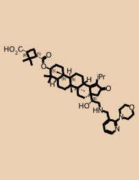 CC(C)C1=C2[C@H]3CC[C@@H]4[C@@]5(C)CC[C@H](OC(=O)[C@H]6C[C@@H](C(=O)O)C6(C)C)C(C)(C)[C@@H]5CC[C@@]4(C)[C@]3(C)CC[C@@]2([C@@H](O)CNCc2cccnc2N2CCOCC2)CC1=O